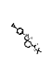 CC(C)(C)OC(=O)N1CCCC(O)(CNc2ccc(C3CC3)cc2)C1